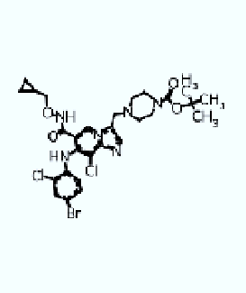 CC(C)(C)OC(=O)N1CCN(Cc2cnc3c(Cl)c(Nc4ccc(Br)cc4Cl)c(C(=O)NOCC4CC4)cn23)CC1